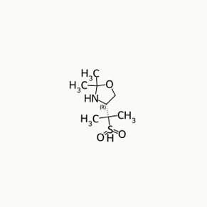 CC1(C)N[C@@H](C(C)(C)[SH](=O)=O)CO1